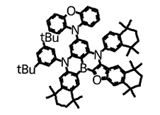 CC(C)(C)c1cc(N2c3cc4c(cc3B3c5oc6cc7c(cc6c5N(c5ccc6c(c5)C(C)(C)CCC6(C)C)c5cc(N6c8ccccc8Oc8ccccc86)cc2c53)C(C)(C)CCC7(C)C)C(C)(C)CCC4(C)C)cc(C(C)(C)C)c1